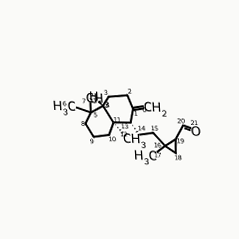 C=C1CC[C@H]2C(C)(C)CCC[C@]2(C)[C@H]1CCC1(C)CC1C=O